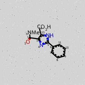 CNC(=O)c1nc(-c2ccccc2)[nH]c1C(=O)O